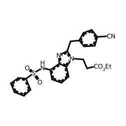 CCOC(=O)CCn1c(Cc2ccc(C#N)cc2)nc2c(NS(=O)(=O)c3ccccc3)cccc21